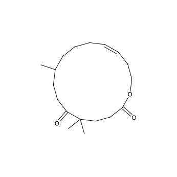 CC1CCCC=CCCOC(=O)CCC(C)(C)C(=O)CC1